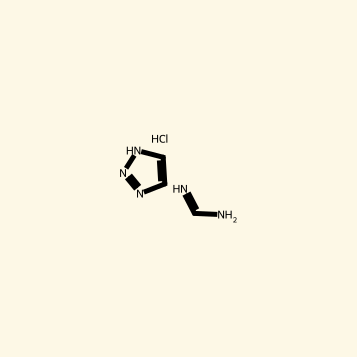 Cl.N=CN.c1c[nH]nn1